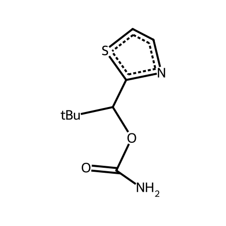 CC(C)(C)C(OC(N)=O)c1nccs1